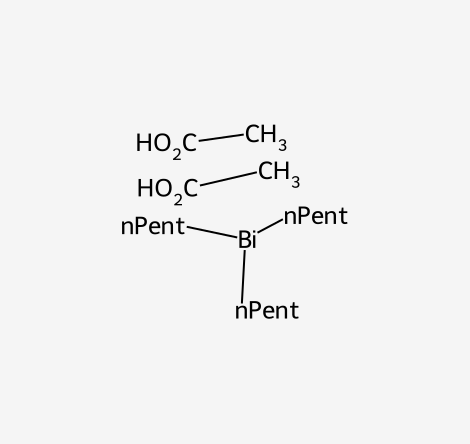 CC(=O)O.CC(=O)O.CCCC[CH2][Bi]([CH2]CCCC)[CH2]CCCC